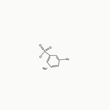 CC(=O)c1cccc(S(=O)(=O)[O-])c1.[Na+]